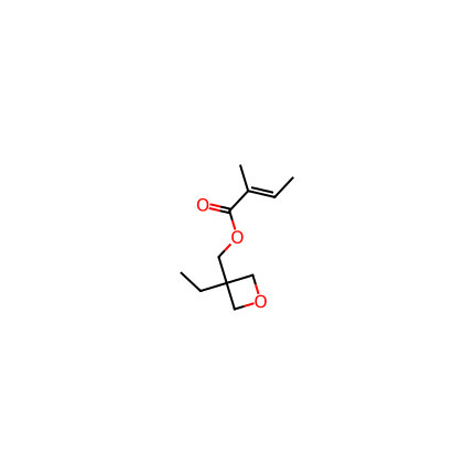 CC=C(C)C(=O)OCC1(CC)COC1